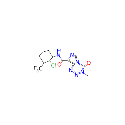 Cn1nnc2c(C(=O)NC3CCCC(C(F)(F)F)C3Cl)ncn2c1=O